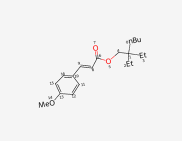 CCCCC(CC)(CC)COC(=O)/C=C/c1ccc(OC)cc1